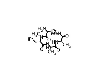 CNC(=O)[C@H](C)NC(=O)[C@@H](C)NC(=O)[C@H](CC(C)C)N(C)C(=O)[C@@H](N)C(C)C